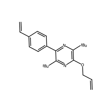 C=CCOc1nc(C(C)(C)C)c(-c2ccc(C=C)cc2)nc1C(C)(C)C